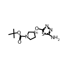 CC(C)(C)OC(=O)N1CC[C@@H](Oc2nnc(N)s2)C1